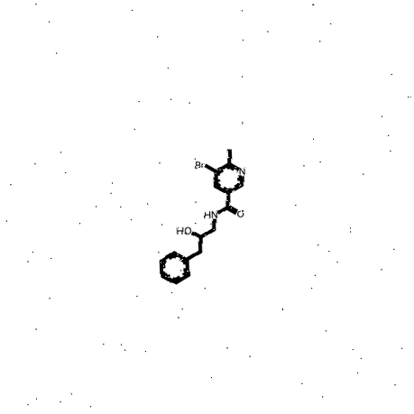 Cc1ncc(C(=O)NCC(O)Cc2ccccc2)cc1Br